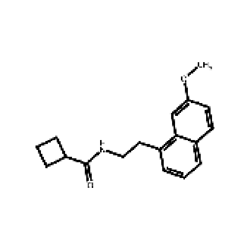 COc1ccc2cccc(CCNC(=O)C3CCC3)c2c1